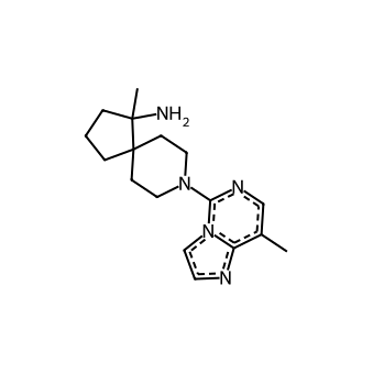 Cc1cnc(N2CCC3(CCCC3(C)N)CC2)n2ccnc12